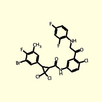 Cc1cc(C2C(C(=O)Nc3ccc(Cl)c(C(=O)CNc4ccc(F)cc4F)c3)C2(Cl)Cl)cc(Br)c1F